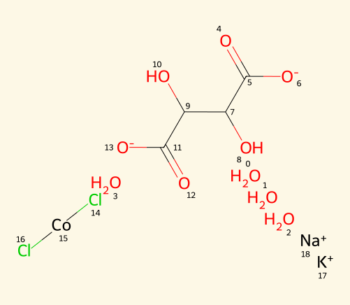 O.O.O.O.O=C([O-])C(O)C(O)C(=O)[O-].[Cl][Co][Cl].[K+].[Na+]